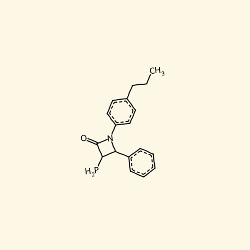 CCCc1ccc(N2C(=O)C(P)C2c2ccccc2)cc1